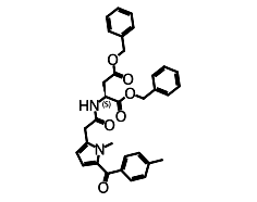 Cc1ccc(C(=O)c2ccc(CC(=O)N[C@@H](CC(=O)OCc3ccccc3)C(=O)OCc3ccccc3)n2C)cc1